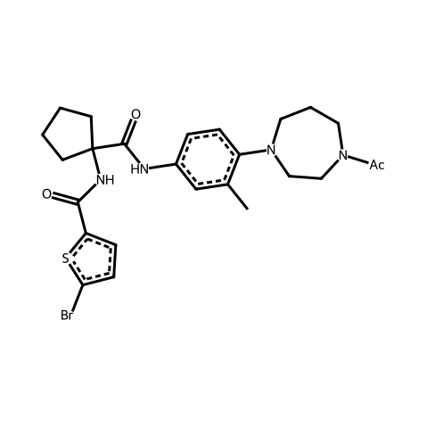 CC(=O)N1CCCN(c2ccc(NC(=O)C3(NC(=O)c4ccc(Br)s4)CCCC3)cc2C)CC1